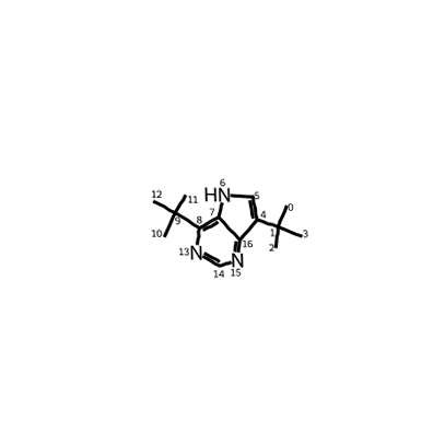 CC(C)(C)c1c[nH]c2c(C(C)(C)C)ncnc12